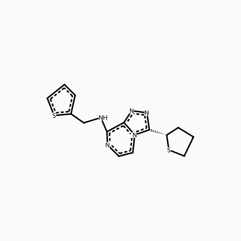 c1csc(CNc2nccn3c([C@@H]4CCCS4)nnc23)c1